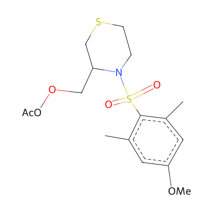 COc1cc(C)c(S(=O)(=O)N2CCSCC2COOC(C)=O)c(C)c1